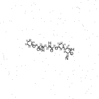 Cc1[nH]c(=O)c(C#N)cc1-c1cccc(OCC(=O)NCCNCC(O)COc2ccccc2)c1